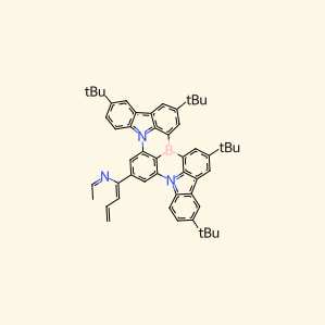 C=C/C=C(\N=C/C)c1cc2c3c(c1)-n1c4ccc(C(C)(C)C)cc4c4cc(C(C)(C)C)cc(c41)B3c1cc(C(C)(C)C)cc3c4cc(C(C)(C)C)ccc4n-2c13